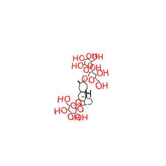 C=C1CC2CCC3[C@](C)(C(=O)OC4OC(CO)C(O)C(O)C4O)CCC[C@@]3(C)[C@@H]2CCC1OC1OC(CO)C(O)C(O)C1OC1OC(CO)C(O)C(O)C1O